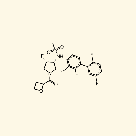 CS(=O)(=O)N[C@H]1[C@@H](F)CN(C(=O)C2CCO2)[C@H]1Cc1cccc(-c2cc(F)ccc2F)c1F